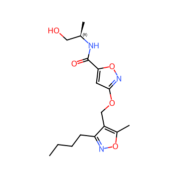 CCCCc1noc(C)c1COc1cc(C(=O)N[C@H](C)CO)on1